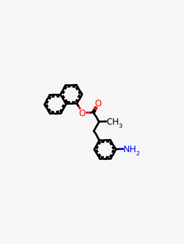 CC(Cc1cccc(N)c1)C(=O)Oc1cccc2ccccc12